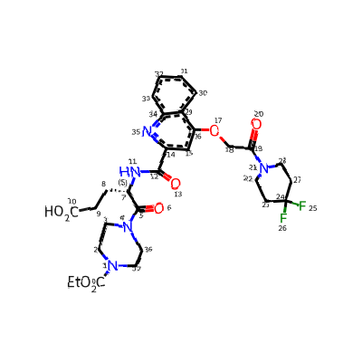 CCOC(=O)N1CCN(C(=O)[C@H](CCC(=O)O)NC(=O)c2cc(OCC(=O)N3CCC(F)(F)CC3)c3ccccc3n2)CC1